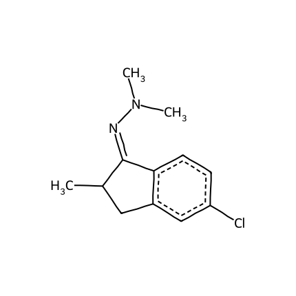 CC1Cc2cc(Cl)ccc2/C1=N\N(C)C